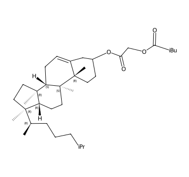 CCC(C)C(=O)OCC(=O)OC1CC[C@@]2(C)C(=CC[C@H]3[C@]4(C)CC[C@](C)([C@H](C)CCCC(C)C)[C@H]4CC[C@@]32C)C1